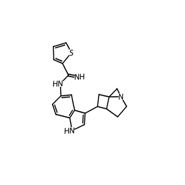 N=C(Nc1ccc2[nH]cc(C3CC45CN4CCC35)c2c1)c1cccs1